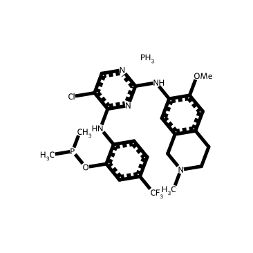 COc1cc2c(cc1Nc1ncc(Cl)c(Nc3ccc(C(F)(F)F)cc3OP(C)C)n1)CN(C)CC2.P